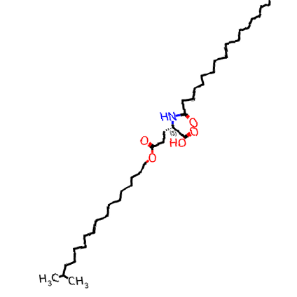 CCCCCCCCCCCCCCCCCC(=O)N[C@@H](CCC(=O)OCCCCCCCCCCCCCCCC(C)C)C(=O)O